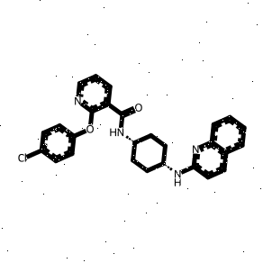 O=C(N[C@H]1CC[C@@H](Nc2ccc3ccccc3n2)CC1)c1cccnc1Oc1ccc(Cl)cc1